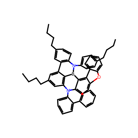 CCCCc1ccc(N2B3c4c(cc(CCCC)cc4N(c4ccccc4-c4ccccc4)c4ccc5oc6ccccc6c5c43)-c3cc(CCCC)ccc32)cc1